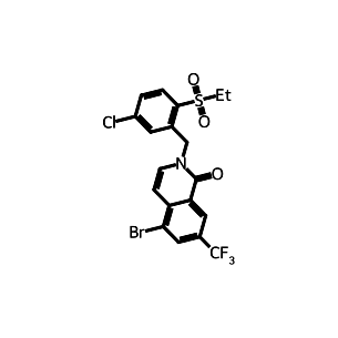 CCS(=O)(=O)c1ccc(Cl)cc1Cn1ccc2c(Br)cc(C(F)(F)F)cc2c1=O